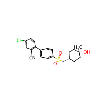 C[C@]1(O)CC[C@H](CS(=O)(=O)c2ccc(-c3ccc(Cl)cc3C#N)cc2)CC1